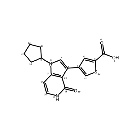 O=C(O)c1cc(-c2cn(C3CCCC3)c3cc[nH]c(=O)c23)cs1